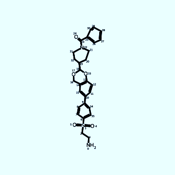 NCCS(=O)(=O)c1ccc(-c2ccc3c(c2)COC(C2CCN(C(=O)c4ccccc4)CC2)O3)cc1